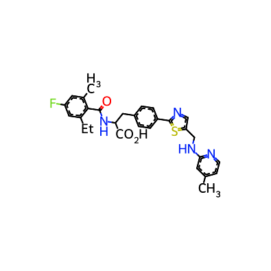 CCc1cc(F)cc(C)c1C(=O)NC(Cc1ccc(-c2ncc(CNc3cc(C)ccn3)s2)cc1)C(=O)O